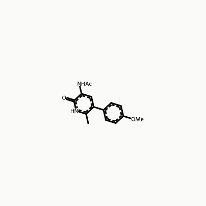 COc1ccc(-c2cc(NC(C)=O)c(=O)[nH]c2C)cc1